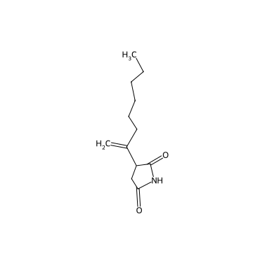 C=C(CCCCCC)C1CC(=O)NC1=O